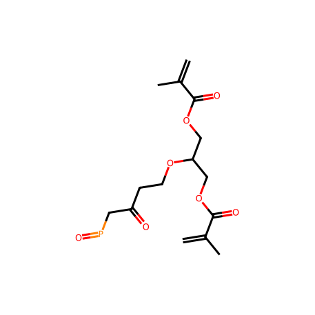 C=C(C)C(=O)OCC(COC(=O)C(=C)C)OCCC(=O)CP=O